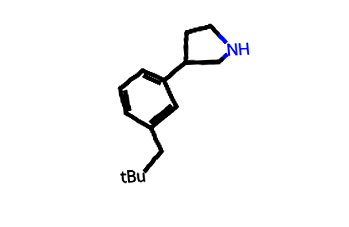 CC(C)(C)Cc1cccc(C2CCNC2)c1